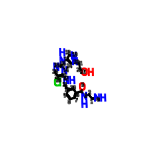 N=CCNC(=O)c1cccc(CNc2nc(Nc3cnn(CCO)c3)ncc2Cl)c1